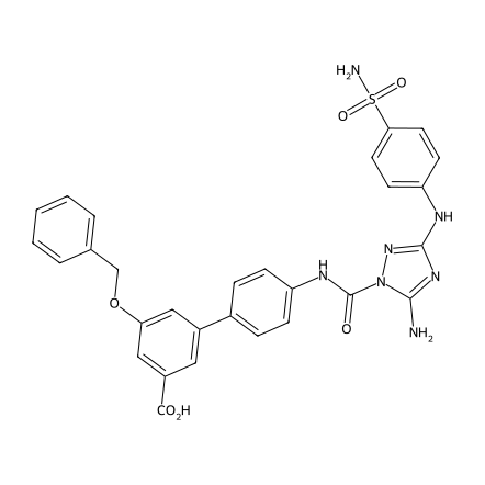 Nc1nc(Nc2ccc(S(N)(=O)=O)cc2)nn1C(=O)Nc1ccc(-c2cc(OCc3ccccc3)cc(C(=O)O)c2)cc1